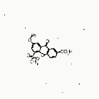 CC(C)Oc1cc(S(C)(=O)=O)c2oc3ccc(C(=O)O)cc3c(=O)c2c1